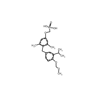 COCOc1ccc(Cc2c(C)cc(OCP(=O)(O)O)cc2C)cc1C(C)C